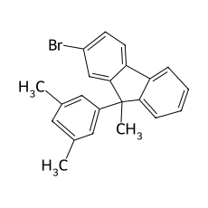 Cc1cc(C)cc(C2(C)c3ccccc3-c3ccc(Br)cc32)c1